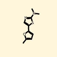 Cc1ccc(-c2cnc(N(C)C)s2)o1